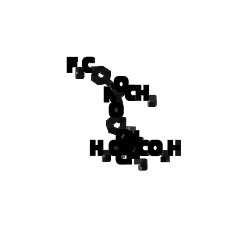 Cc1oc(-c2ccc(C(F)(F)F)cc2)nc1COc1cccc(CN(CC(=O)O)S(=O)(=O)N(C)C)c1